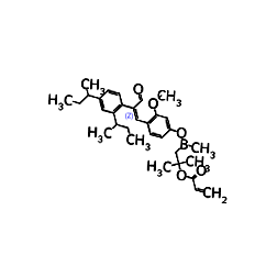 C=CC(=O)OC(C)(C)CB(C)Oc1ccc(/C=C(\C=O)c2ccc(C(C)CC)cc2C(C)CC)c(OC)c1